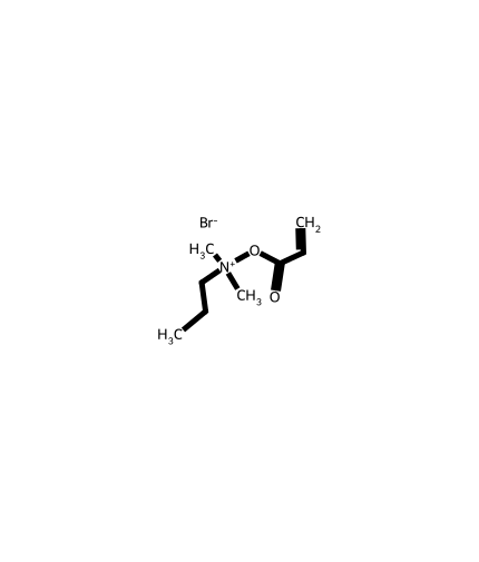 C=CC(=O)O[N+](C)(C)CCC.[Br-]